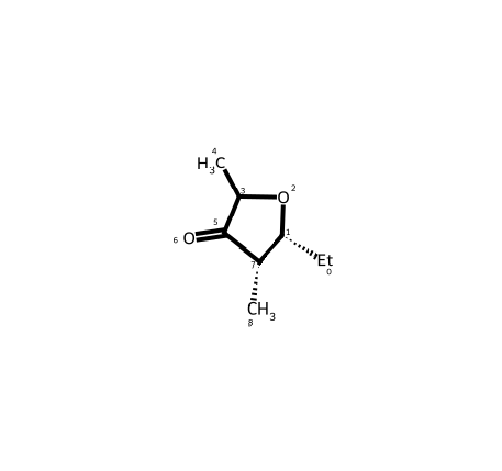 CC[C@H]1OC(C)C(=O)[C@H]1C